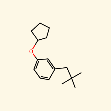 CC(C)(C)Cc1cccc(OC2CCCC2)c1